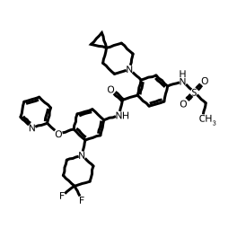 CCS(=O)(=O)Nc1ccc(C(=O)Nc2ccc(Oc3ccccn3)c(N3CCC(F)(F)CC3)c2)c(N2CCC3(CC2)CC3)c1